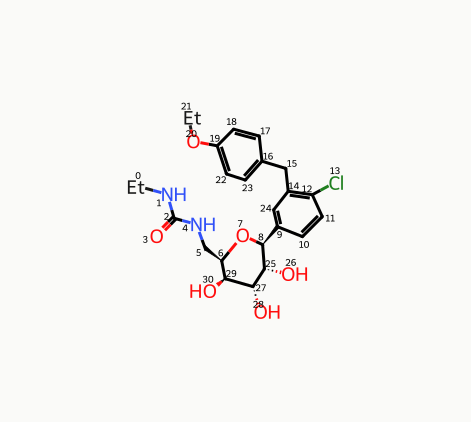 CCNC(=O)NC[C@H]1O[C@@H](c2ccc(Cl)c(Cc3ccc(OCC)cc3)c2)[C@H](O)[C@H](O)[C@H]1O